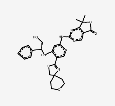 CC1(C)OC(=O)c2cnc(Nc3cc(N[C@H](CO)c4ccccc4)c(C4=NC5(CCOCC5)CO4)cn3)nc21